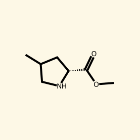 COC(=O)[C@H]1CC(C)CN1